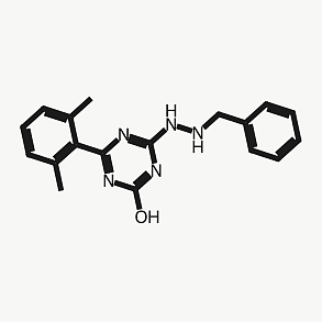 Cc1cccc(C)c1-c1nc(O)nc(NNCc2ccccc2)n1